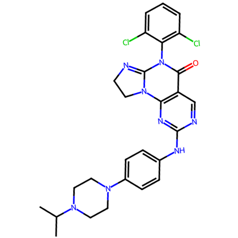 CC(C)N1CCN(c2ccc(Nc3ncc4c(n3)N3CCN=C3N(c3c(Cl)cccc3Cl)C4=O)cc2)CC1